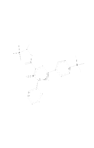 CC(NC(=O)c1cc(-c2ccc(C(F)(F)F)cc2)nn(-c2cccnc2)c1=O)C(C)(C)O